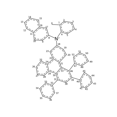 Cc1ccccc1N(c1ccc2ccccc2c1)c1ccc2c(c1)c1ccccc1c1c(-c3ccccc3)cc(-c3ccccc3)c(-c3ccccc3)c21